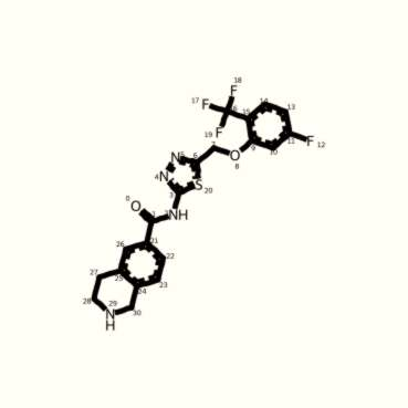 O=C(Nc1nnc(COc2cc(F)ccc2C(F)(F)F)s1)c1ccc2c(c1)CCNC2